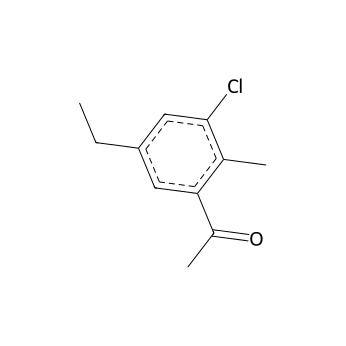 CCc1cc(Cl)c(C)c(C(C)=O)c1